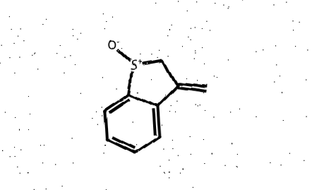 C=C1C[S+]([O-])c2ccccc21